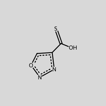 OC(=S)c1conn1